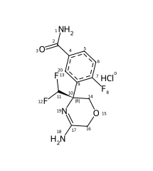 Cl.NC(=O)c1ccc(F)c([C@]2(C(F)F)COCC(N)=N2)c1